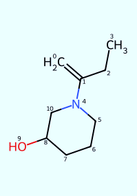 C=C(CC)N1CCCC(O)C1